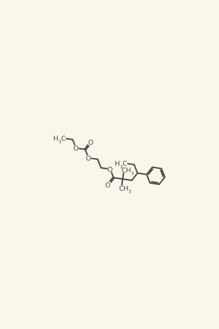 CCOC(=O)OCCOC(=O)C(C)(C)CC(CC)c1ccccc1